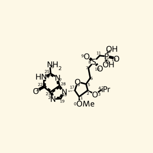 CO[C@@H]1[C@H](OC(C)C)C(CCS(=O)(=O)CP(=O)(O)O)O[C@H]1n1cnc2c(=O)[nH]c(N)nc21